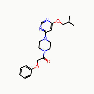 CC(C)COc1cc(N2CCN(C(=O)COc3ccccc3)CC2)ncn1